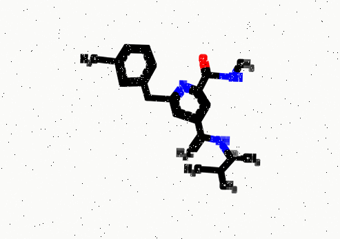 C=C(N[C@H](C)C(C)C)c1cc(Cc2cccc(C)c2)nc(C(=O)NC)c1